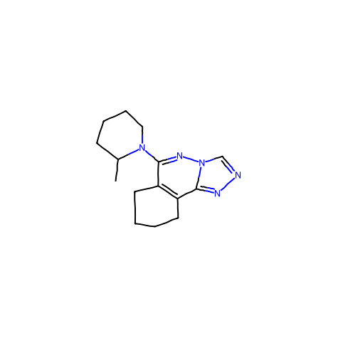 CC1CCCCN1c1nn2cnnc2c2c1CCCC2